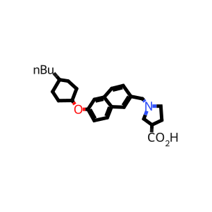 CCCCC1CCC(Oc2ccc3cc(CN4CCC(C(=O)O)C4)ccc3c2)CC1